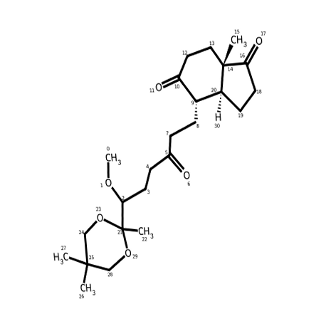 COC(CCC(=O)CC[C@@H]1C(=O)CC[C@]2(C)C(=O)CC[C@@H]12)C1(C)OCC(C)(C)CO1